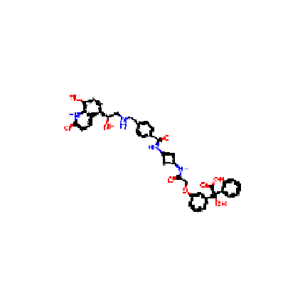 O=C(COc1cccc(C(O)(C(=O)O)c2ccccc2)c1)NC1CC(NC(=O)c2ccc(CNCC(O)c3ccc(O)c4[nH]c(=O)ccc34)cc2)C1